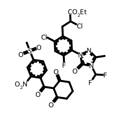 CCOC(=O)C(Cl)Cc1cc(-n2nc(C)n(C(F)F)c2=O)c(F)cc1Cl.CS(=O)(=O)c1ccc(C(=O)C2C(=O)CCCC2=O)c([N+](=O)[O-])c1